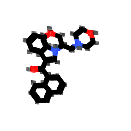 O=C(c1cccc2ccccc12)c1cn2c3c(cccc13)OCC2CN1CCOCC1